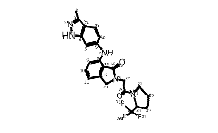 Cc1n[nH]c2cc(Nc3cccc4c3C(=O)N(CC(=O)N3CCCC3C(F)(F)F)C4)ccc12